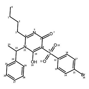 CCCCc1nc(=O)c(S(=O)(=O)c2ccc(Br)cc2)c(O)n1C(C)c1ccccc1